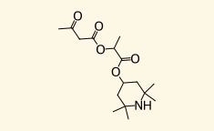 CC(=O)CC(=O)OC(C)C(=O)OC1CC(C)(C)NC(C)(C)C1